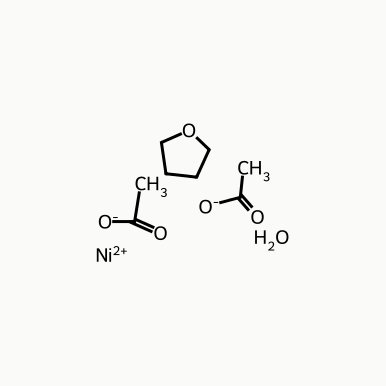 C1CCOC1.CC(=O)[O-].CC(=O)[O-].O.[Ni+2]